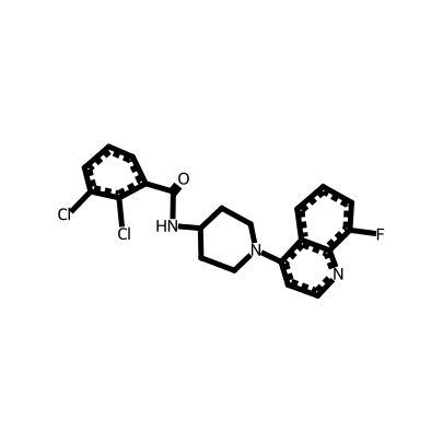 O=C(NC1CCN(c2ccnc3c(F)cccc23)CC1)c1cccc(Cl)c1Cl